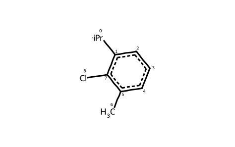 C[C](C)c1cccc(C)c1Cl